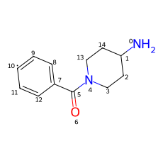 NC1CCN(C(=O)c2cc[c]cc2)CC1